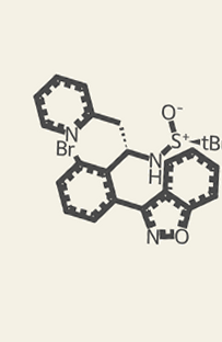 CC(C)(C)[S@+]([O-])N[C@@H](Cc1ccccn1)c1c(Br)cccc1-c1noc2ccccc12